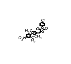 Cc1cc([N+](=O)[O-])ccc1-n1c(C)cc(C=C2SC(=O)N(c3ccc(Cl)cc3)C2=O)c1C